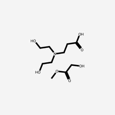 COC(=O)CO.O=C(O)CCN(CCO)CCO